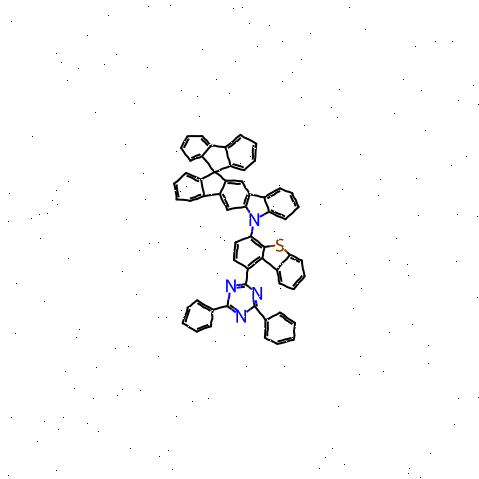 c1ccc(-c2nc(-c3ccccc3)nc(-c3ccc(-n4c5ccccc5c5cc6c(cc54)-c4ccccc4C64c5ccccc5-c5ccccc54)c4sc5ccccc5c34)n2)cc1